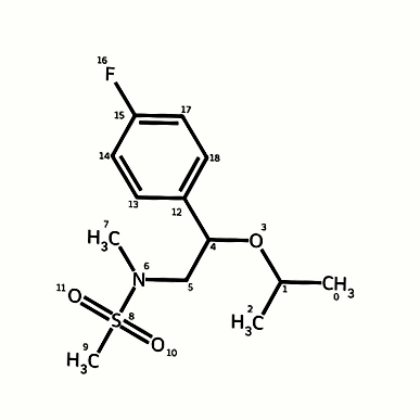 CC(C)OC(CN(C)S(C)(=O)=O)c1ccc(F)cc1